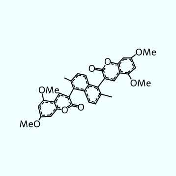 COc1cc(OC)c2cc(-c3c(C)ccc4c(-c5cc6c(OC)cc(OC)cc6oc5=O)c(C)ccc34)c(=O)oc2c1